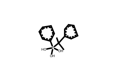 CC(C)(c1ccccc1)P(O)(O)(O)c1ccccc1